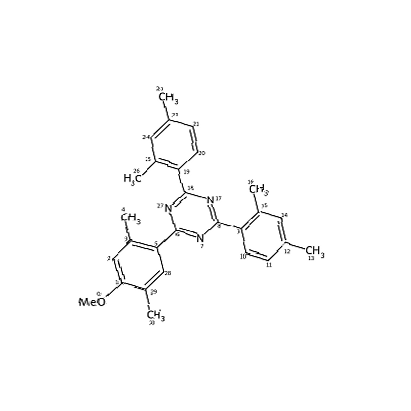 COc1cc(C)c(-c2nc(-c3ccc(C)cc3C)nc(-c3ccc(C)cc3C)n2)cc1C